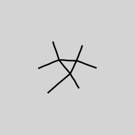 CC1(C)C(C)(C)C1(C)C